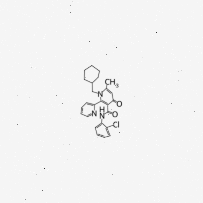 Cc1cc(=O)c(C(=O)Nc2ccccc2Cl)c(-c2ccccn2)n1CC1CCCCC1